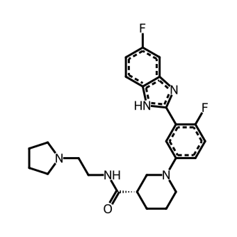 O=C(NCCN1CCCC1)[C@H]1CCCN(c2ccc(F)c(-c3nc4cc(F)ccc4[nH]3)c2)C1